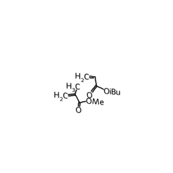 C=C(C)C(=O)OC.C=CC(=O)OCC(C)C